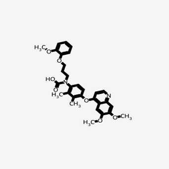 COc1cc2nccc(Oc3ccc(N(CCCOc4ccccc4OC)C(=O)O)c(C)c3C)c2cc1OC